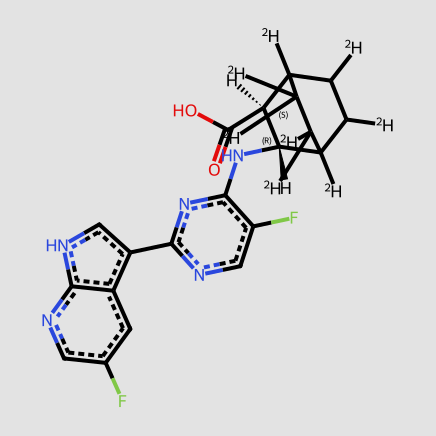 [2H]C1C([2H])C2([2H])[C@H](C(=O)O)[C@@H](Nc3nc(-c4c[nH]c5ncc(F)cc45)ncc3F)C1([2H])C([2H])([2H])C2([2H])[2H]